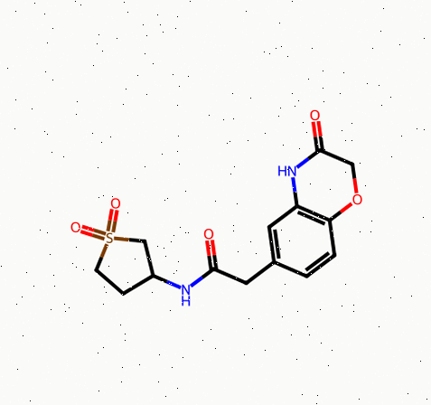 O=C1COc2ccc(CC(=O)NC3CCS(=O)(=O)C3)cc2N1